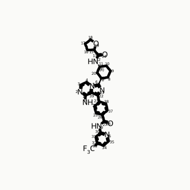 Nc1nccn2c([C@@H]3CCC[C@@H](NC(=O)C4CCCO4)C3)nc(-c3ccc(C(=O)Nc4cc(C(F)(F)F)ccn4)cc3)c12